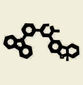 C=C(C)/C(=C\C(=C/C)c1cccc(-n2c3ccccc3c3ccccc32)c1)c1ccc2c(c1)C1C=CC=C[C@]1(C)O2